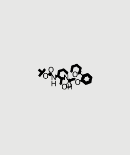 CC(C)(C)OC(=O)NC1CCCN(C(=O)COc2ccccc2[C@@H]2CCCCO2)C1CO